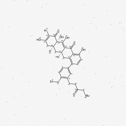 CCOc1ccc(-c2ccc(O)c3c2C[C@H]2C[C@H]4CC(O)=C(C(C)=O)C(=O)[C@@]4(O)C(O)=C2C3=O)cc1CCC(=O)CC(C)(C)C